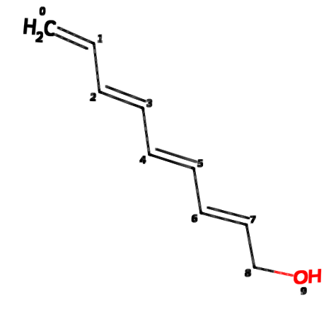 C=CC=CC=CC=CCO